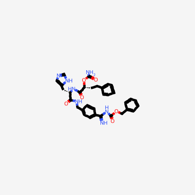 N=C(NC(=O)OCc1ccccc1)c1ccc(CNC(=O)[C@H](Cc2cnc[nH]2)NC(=O)[C@@H](CCc2ccccc2)OC(N)=O)cc1